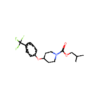 CC(C)COC(=O)N1CCC(Oc2ccc(C(F)(F)F)cc2)CC1